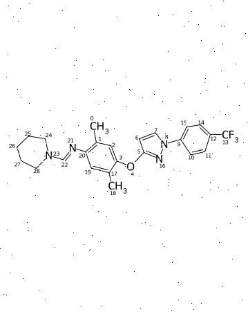 Cc1cc(Oc2ccn(-c3ccc(C(F)(F)F)cc3)n2)c(C)cc1/N=C/N1CCCCC1